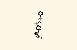 CNCc1ccc(NC(=O)OCc2ccccc2)cn1